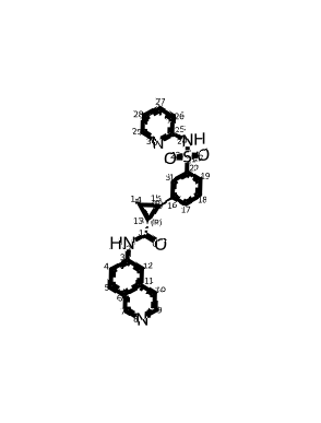 O=C(Nc1ccc2cnccc2c1)[C@@H]1C[C@H]1c1cccc(S(=O)(=O)Nc2ccccn2)c1